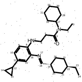 CCN(C(=O)CCNc1ccc(C2CC2)cc1/N=C/[C@H]1CC[C@H](CC)CC1)C1CCCCC1